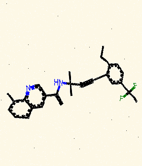 C=C(NC(C)(C)C#Cc1cc(C(C)(F)F)ccc1CC)c1cnc2c(C)cccc2c1